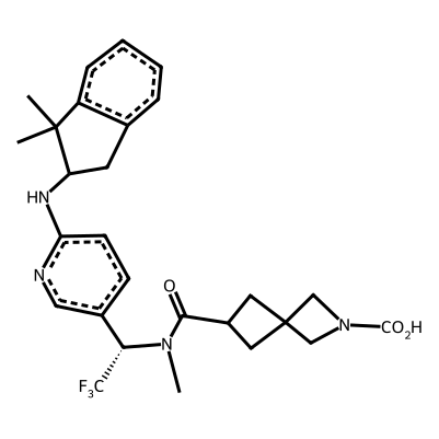 CN(C(=O)C1CC2(C1)CN(C(=O)O)C2)[C@@H](c1ccc(NC2Cc3ccccc3C2(C)C)nc1)C(F)(F)F